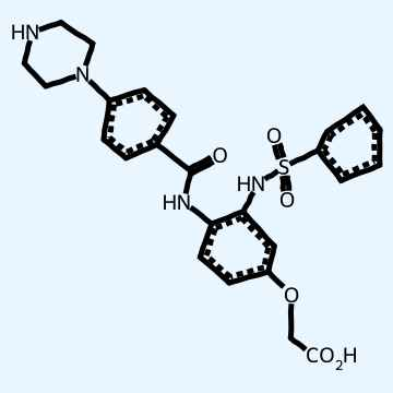 O=C(O)COc1ccc(NC(=O)c2ccc(N3CCNCC3)cc2)c(NS(=O)(=O)c2ccccc2)c1